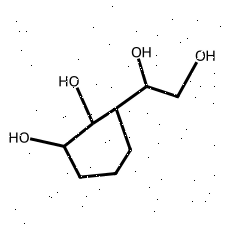 OCC(O)C1CCCC(O)C1O